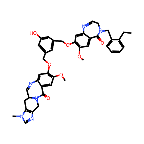 CCc1ccccc1CN1CC=Nc2cc(OCc3cc(O)cc(COc4cc5c(cc4OC)C(=O)N4Cc6ncn(C)c6CC4C=N5)c3)c(OC)cc2C1=O